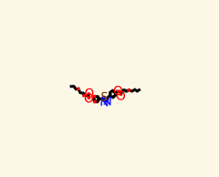 CCCCCC=CC(=O)Oc1ccc(-c2nnc(-c3ccc(OC(=O)C=CCCCCC)cc3)s2)cc1